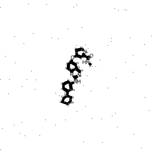 CNC(=O)c1cc(Oc2ccc3nc(Nc4cccc(C5CCCCC5)c4)ncc3c2)ccn1